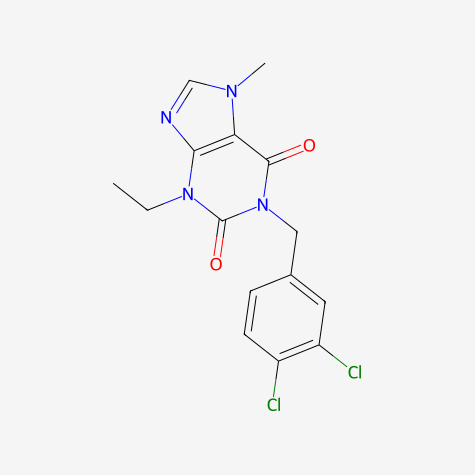 CCn1c(=O)n(Cc2ccc(Cl)c(Cl)c2)c(=O)c2c1ncn2C